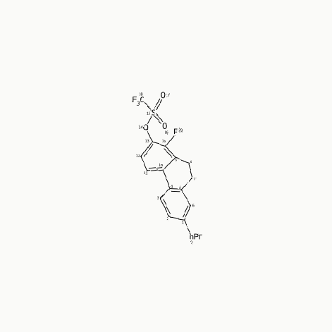 CCCc1ccc2c(c1)CCc1c-2ccc(OS(=O)(=O)C(F)(F)F)c1F